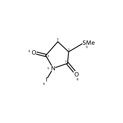 CSC1CC(=O)N(I)C1=O